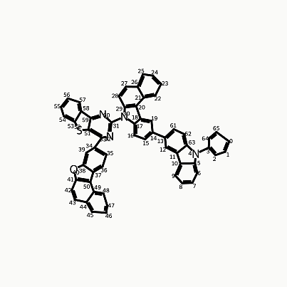 c1ccc(-n2c3ccccc3c3cc(-c4ccc5c(c4)c4c6ccccc6ccc4n5-c4nc(-c5ccc6c(c5)oc5ccc7ccccc7c56)c5sc6ccccc6c5n4)ccc32)cc1